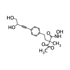 CC(CCc1ccc(C#CC(O)CO)cc1)(C(=O)NO)S(C)(=O)=O